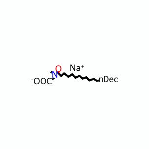 CCCCCCCCCCCCCCCCCCCCCC(=O)N(C)CC(=O)[O-].[Na+]